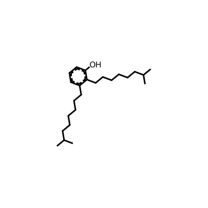 CC(C)CCCCCCc1cccc(O)c1CCCCCCC(C)C